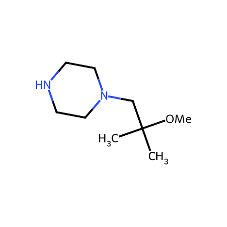 COC(C)(C)CN1CCNCC1